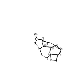 FC1CC2CCC34CCC3C3CC4C2C13